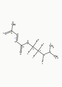 CC(C)C(F)C(F)(F)C(F)(F)OC(=O)/C=C/C(=O)O